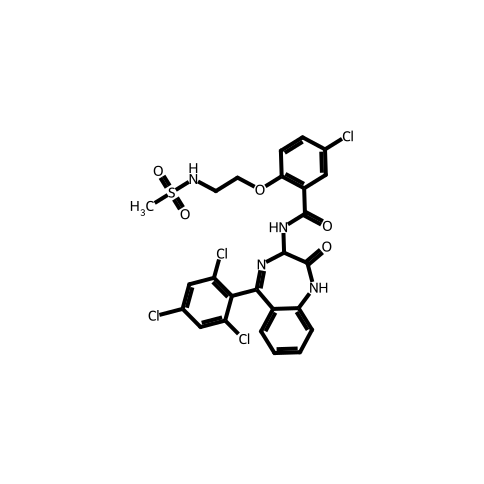 CS(=O)(=O)NCCOc1ccc(Cl)cc1C(=O)NC1N=C(c2c(Cl)cc(Cl)cc2Cl)c2ccccc2NC1=O